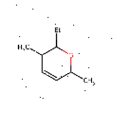 CCC1OC(C)C=CC1C